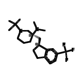 CN(C)[C@@]1(C[C@@H]2CCc3ccc(C(F)(F)F)cc32)CCCN(C(C)(C)C)C1